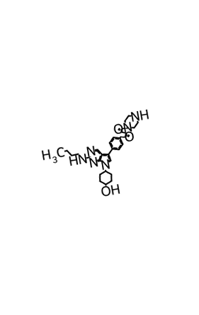 CCCCNc1ncc2c(-c3ccc(S(=O)(=O)N4CCNCC4)cc3)cn([C@H]3CC[C@H](O)CC3)c2n1